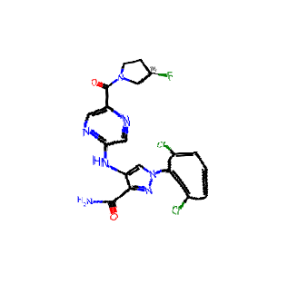 NC(=O)c1nn(-c2c(Cl)cccc2Cl)cc1Nc1cnc(C(=O)N2CC[C@@H](F)C2)cn1